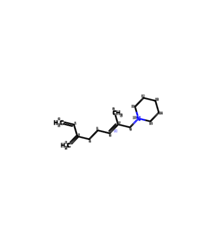 C=CC(=C)CC/C=C(\C)CN1CCCCC1